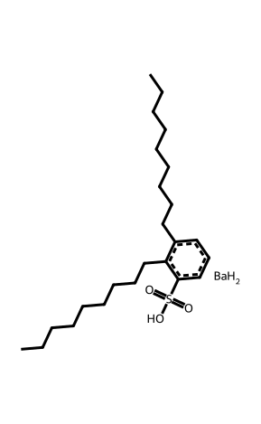 CCCCCCCCCc1cccc(S(=O)(=O)O)c1CCCCCCCCC.[BaH2]